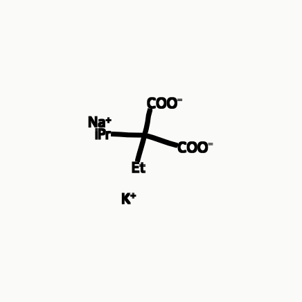 CCC(C(=O)[O-])(C(=O)[O-])C(C)C.[K+].[Na+]